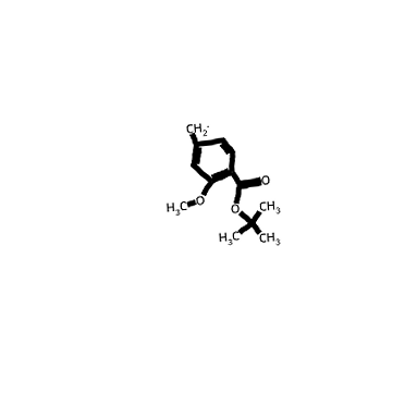 [CH2]c1ccc(C(=O)OC(C)(C)C)c(OC)c1